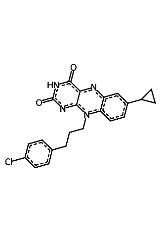 O=c1nc2n(CCCc3ccc(Cl)cc3)c3ccc(C4CC4)cc3nc-2c(=O)[nH]1